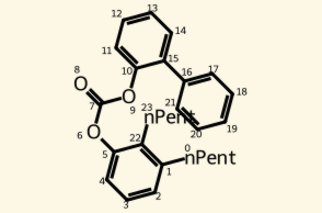 CCCCCc1cccc(OC(=O)Oc2ccccc2-c2ccccc2)c1CCCCC